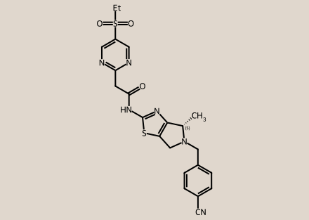 CCS(=O)(=O)c1cnc(CC(=O)Nc2nc3c(s2)CN(Cc2ccc(C#N)cc2)[C@H]3C)nc1